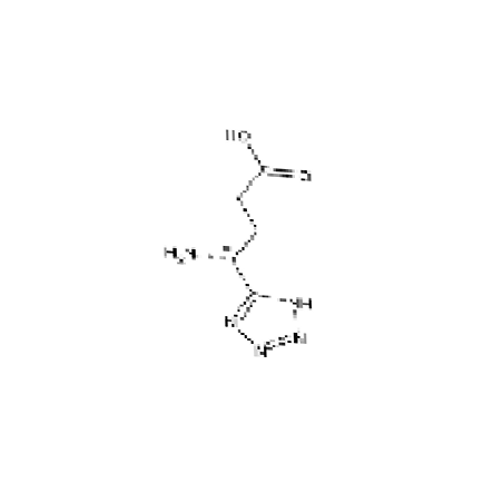 N[C@H](CCC(=O)O)c1nnn[nH]1